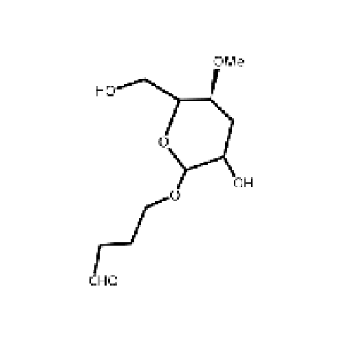 CO[C@H]1CC(O)C(OCCCC=O)OC1CO